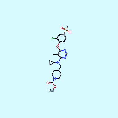 Cc1c(Oc2ccc(S(C)(=O)=O)cc2F)ncnc1N(CC1CCN(C(=O)OC(C)(C)C)CC1)C1CC1